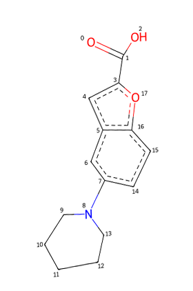 O=C(O)c1cc2cc(N3CCCCC3)ccc2o1